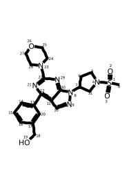 CS(=O)(=O)N1CCC(n2ncc3c(-c4cccc(CO)c4)nc(N4CCOCC4)nc32)C1